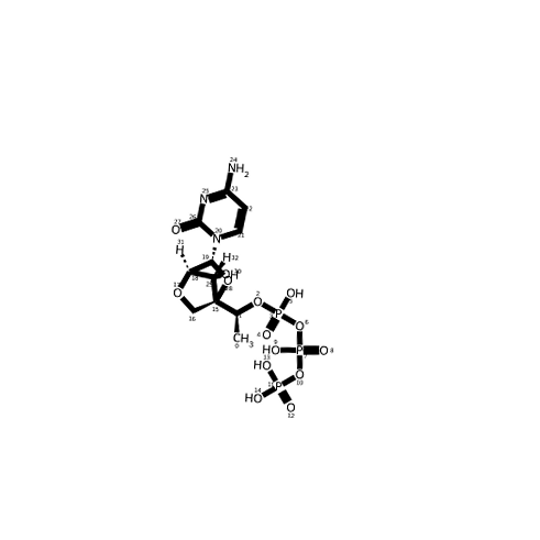 C[C@H](OP(=O)(O)OP(=O)(O)OP(=O)(O)O)[C@@]12CO[C@@H]([C@H](n3ccc(N)nc3=O)O1)[C@@H]2O